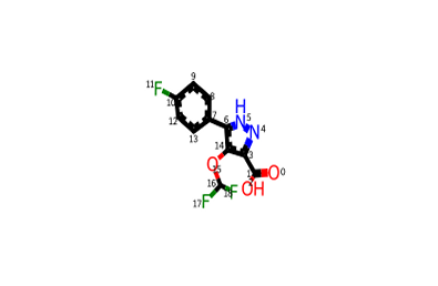 O=C(O)c1n[nH]c(-c2ccc(F)cc2)c1OC(F)F